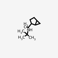 CC(NC(C)(C)C)C1CCC2CC21